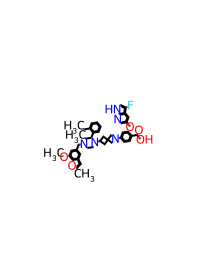 COc1cc(CN2CCN(C3CC4(C3)CN(c3ccc(C(=O)O)c(Oc5cnc6[nH]cc(F)c6c5)c3)C4)C(c3ccccc3C(C)C)C2)cc2cc(C)oc12